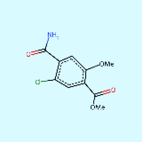 COC(=O)c1cc(Cl)c(C(N)=O)cc1OC